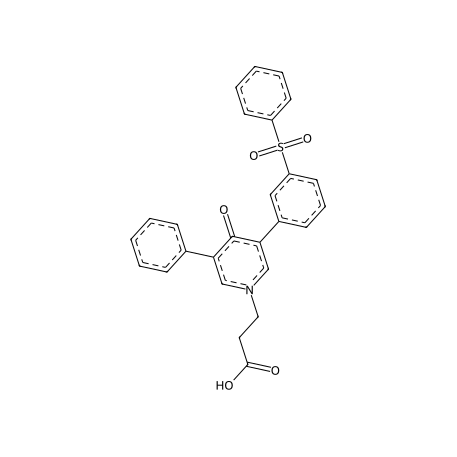 O=C(O)CCn1cc(-c2ccccc2)c(=O)c(-c2cccc(S(=O)(=O)c3ccccc3)c2)c1